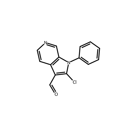 O=Cc1c(Cl)n(-c2ccccc2)c2cnccc12